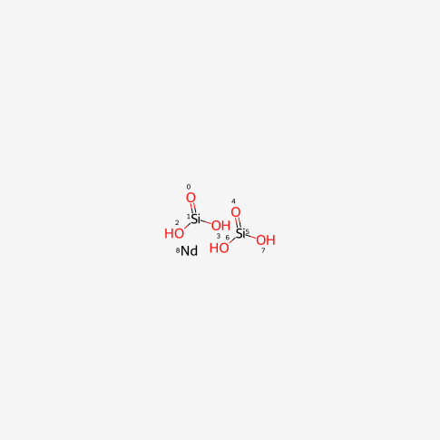 O=[Si](O)O.O=[Si](O)O.[Nd]